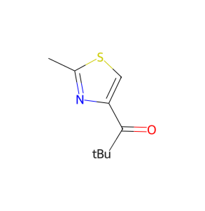 Cc1nc(C(=O)C(C)(C)C)cs1